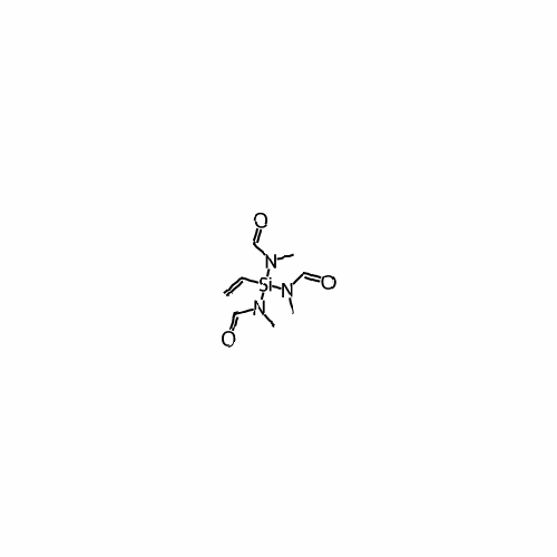 C=C[Si](N(C)C=O)(N(C)C=O)N(C)C=O